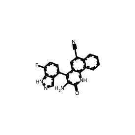 N#Cc1cc2c(-c3ccc(F)c4[nH]ncc34)c(N)c(=O)[nH]c2c2ccccc12